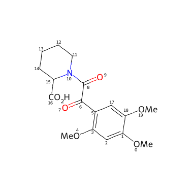 COc1cc(OC)c(C(=O)C(=O)N2CCCCC2C(=O)O)cc1OC